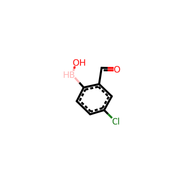 O=Cc1cc(Cl)ccc1BO